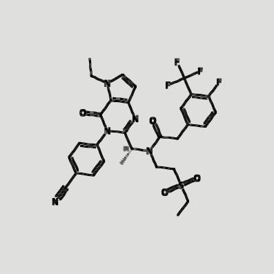 CCn1ccc2nc([C@@H](C)N(CCS(=O)(=O)CC)C(=O)Cc3ccc(F)c(C(F)(F)F)c3)n(-c3ccc(C#N)cc3)c(=O)c21